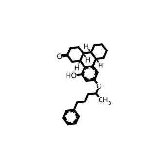 CC(CCCc1ccccc1)Oc1cc(O)c2c(c1)[C@H]1CCCC[C@H]1[C@H]1CCC(=O)C[C@H]21